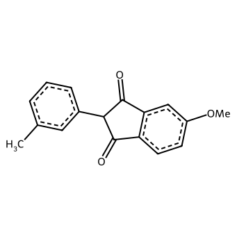 COc1ccc2c(c1)C(=O)C(c1cccc(C)c1)C2=O